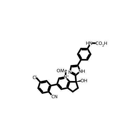 CO[n+]1cc(-c2cc(Cl)ccc2C#N)cc2c1[C@](O)(c1ncc(-c3ccc(NC(=O)O)cc3)[nH]1)CC2